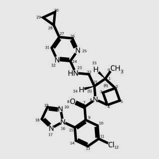 C[C@@H]1C2CC(C2)N(C(=O)c2cc(Cl)ccc2-n2nccn2)[C@@H]1CNc1ncc(C2CC2)cn1